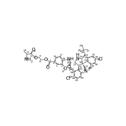 COc1cc(C(=O)OCCOC(=O)C(C)N)ccc1NC(=O)[C@@H]1N[C@@H](CC(C)(C)C)[C@](C#N)(c2ccc(Cl)cc2F)[C@H]1c1cccc(Cl)c1F